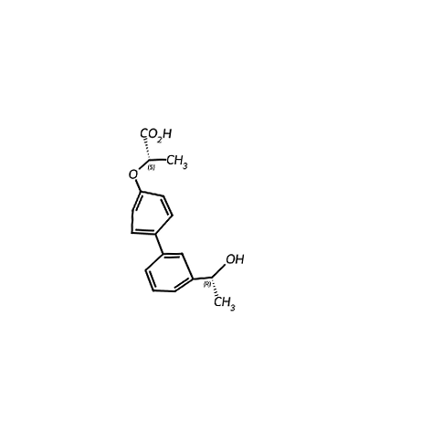 C[C@H](Oc1ccc(-c2cccc([C@@H](C)O)c2)cc1)C(=O)O